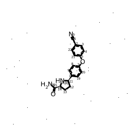 N#Cc1ccc(Oc2ccc([C@H]3CC[C@@H](C(N)=O)N3)cc2)cc1